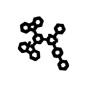 CC12C=CC=CC1C1C=CC=CC1N2c1cc(-c2cc(-c3ccc(-c4ccccc4)cc3)nc(-c3ccccc3)n2)cc(-n2c3ccccc3c3ccccc32)c1